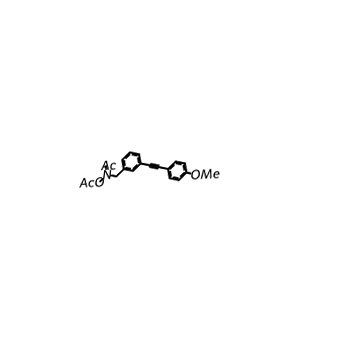 COc1ccc(C#Cc2cccc(CN(OC(C)=O)C(C)=O)c2)cc1